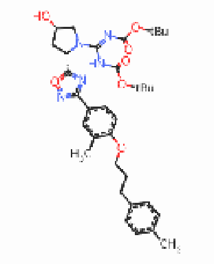 Cc1ccc(CCCOc2ccc(-c3noc([C@@H]4C[C@@H](O)CN4/C(=N/C(=O)OC(C)(C)C)NC(=O)OC(C)(C)C)n3)cc2C)cc1